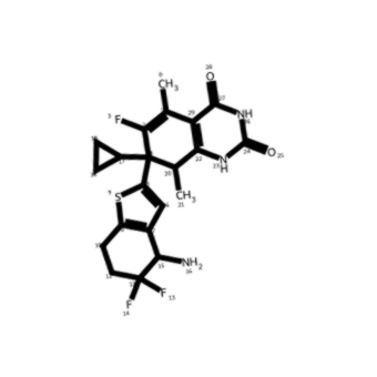 CC1=C(F)C(c2cc3c(s2)CCC(F)(F)C3N)(C2CC2)C(C)c2[nH]c(=O)[nH]c(=O)c21